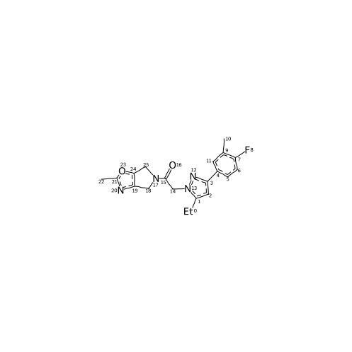 CCc1cc(-c2ccc(F)c(C)c2)nn1CC(=O)N1Cc2nc(C)oc2C1